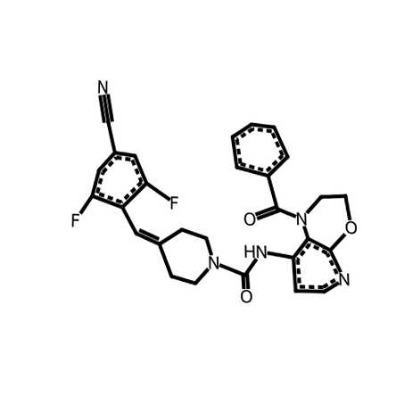 N#Cc1cc(F)c(C=C2CCN(C(=O)Nc3ccnc4c3N(C(=O)c3ccccc3)CCO4)CC2)c(F)c1